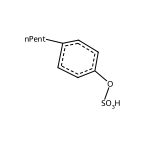 CCCCCc1ccc(OS(=O)(=O)O)cc1